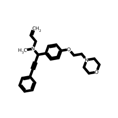 C=CCN(C)C(C#Cc1ccccc1)C1=C=C=C(OCCN2CCOCC2)C=C1